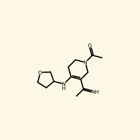 CC(=N)C1=C(NC2CCOC2)CCN(C(C)=O)C1